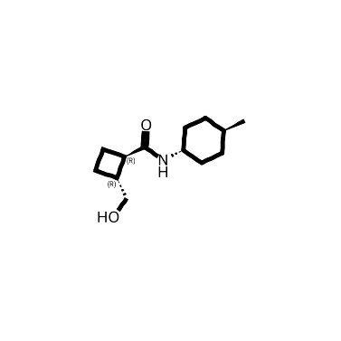 C[C@H]1CC[C@H](NC(=O)[C@@H]2CC[C@H]2CO)CC1